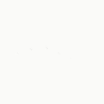 CCOC(=O)CNC(=O)NCc1csc(N)n1